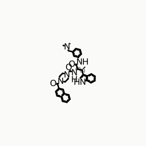 C[C@@H](c1c[nH]c2ccccc12)[C@@H](NC(=O)N1CCN(C(=O)c2ccc3ccccc3c2)CC1)C(=O)Nc1cccc(CN(C)C)c1